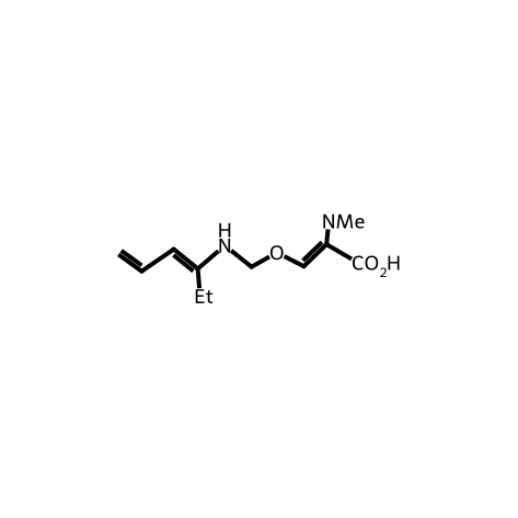 C=C/C=C(\CC)NCO/C=C(\NC)C(=O)O